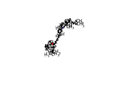 CCN(CC)CCNC(=O)c1c(C)[nH]c(/C=C2\C(=O)Nc3ccc(NC(=O)CCCCCC(=O)O[C@@H](CNC(C)(C)C)COc4nsnc4N4CCOCC4)cc32)c1C